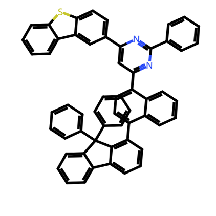 c1ccc(-c2nc(-c3ccc4sc5ccccc5c4c3)cc(-c3ccc(-c4cccc5c4C(c4ccccc4)(c4ccccc4)c4ccccc4-5)c4ccccc34)n2)cc1